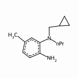 CCCN(CC1CC1)c1cc(C)ccc1N